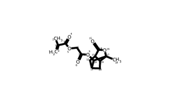 C=C(C)C(=O)OCC(=O)OC1C2CC3C(=O)OC1(C)C3C2